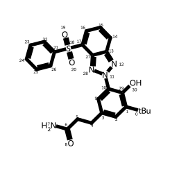 CC(C)(C)c1cc(CCC(N)=O)cc(-n2nc3cccc(S(=O)(=O)c4ccccc4)c3n2)c1O